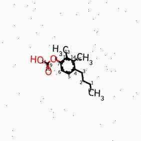 CCCCc1ccc(OC(=O)O)c(C)c1C